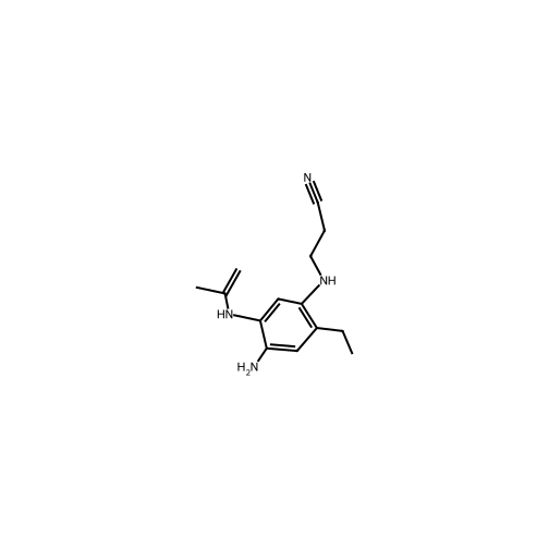 C=C(C)Nc1cc(NCCC#N)c(CC)cc1N